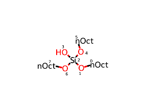 CCCCCCCCO[Si](O)(OCCCCCCCC)OCCCCCCCC